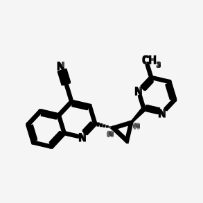 Cc1ccnc([C@H]2C[C@@H]2c2cc(C#N)c3ccccc3n2)n1